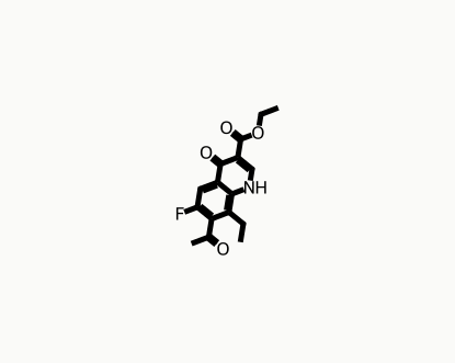 CCOC(=O)c1c[nH]c2c(CC)c(C(C)=O)c(F)cc2c1=O